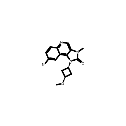 CO[C@H]1C[C@@H](n2c(=O)n(C)c3cnc4ccc(Br)cc4c32)C1